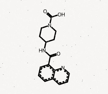 O=C(NC1CCN(C(=O)O)CC1)c1cccc2cccnc12